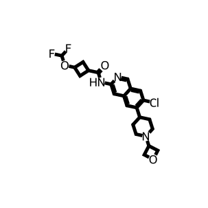 O=C(Nc1cc2cc(C3CCN(C4COC4)CC3)c(Cl)cc2cn1)C1CC(OC(F)F)C1